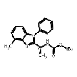 Cc1cccc2c1nc([C@H](C)NC(=O)OC(C)(C)C)n2-c1ccccc1